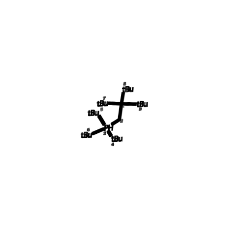 CC(C)(C)C(C[PH](C(C)(C)C)(C(C)(C)C)C(C)(C)C)(C(C)(C)C)C(C)(C)C